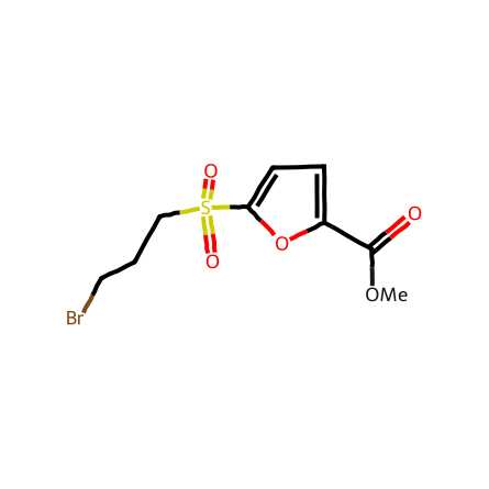 COC(=O)c1ccc(S(=O)(=O)CCCBr)o1